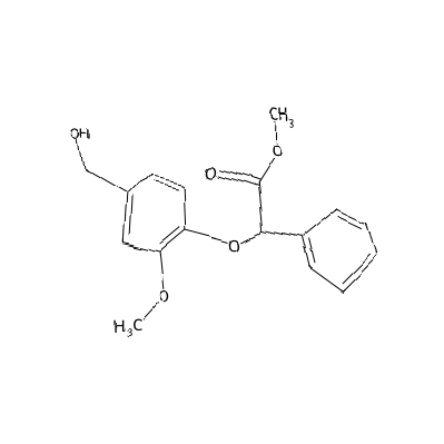 COC(=O)C(Oc1ccc(CO)cc1OC)c1ccccc1